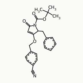 CC(C)(C)OC(=O)N1C(=O)C=C(OCc2ccc(C#N)cc2)C1Cc1ccccc1